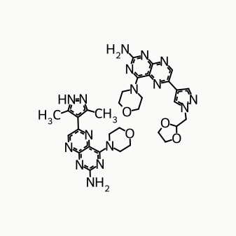 Cc1n[nH]c(C)c1-c1cnc2nc(N)nc(N3CCOCC3)c2n1.Nc1nc(N2CCOCC2)c2nc(-c3cnn(CC4OCCO4)c3)cnc2n1